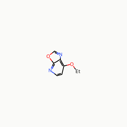 CCOc1ccnc2ocnc12